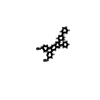 CC(C)(C)c1ccc(-c2cc3nc(-c4ccccc4)c(-c4ccc(-c5cccnc5)cc4)nc3cc2-c2ccc(C(C)(C)C)cc2)cc1